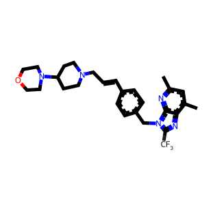 Cc1cc(C)c2nc(C(F)(F)F)n(Cc3ccc(/C=C/CN4CCC(N5CCOCC5)CC4)cc3)c2n1